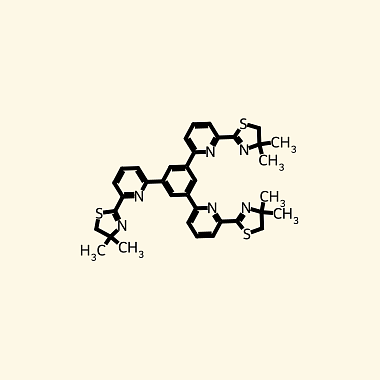 CC1(C)CSC(c2cccc(-c3cc(-c4cccc(C5=NC(C)(C)CS5)n4)cc(-c4cccc(C5=NC(C)(C)CS5)n4)c3)n2)=N1